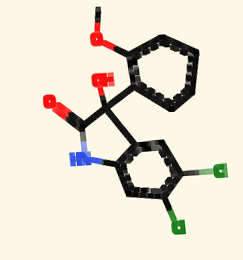 COc1ccccc1C1(O)C(=O)Nc2cc(Cl)c(Cl)cc21